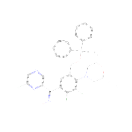 C[C@@H]1CN(c2c(CO[Si](c3ccccc3)(c3ccccc3)C(C)(C)C)cc(C(=NO)c3cncc(Cl)n3)c(F)c2F)C[C@H](C)O1